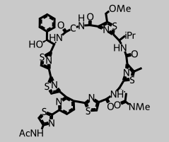 CNC(=O)C[C@@H]1NC(=O)c2csc(n2)-c2ccc(-c3nc(NC(C)=O)cs3)nc2-c2csc(n2)-c2csc(n2)[C@H]([C@@H](O)c2ccccc2)NC(=O)CNC(=O)c2nc(sc2COC)C(C(C)C)NC(=O)c2nc1sc2C